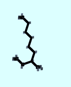 CC(CCCCCO)OO